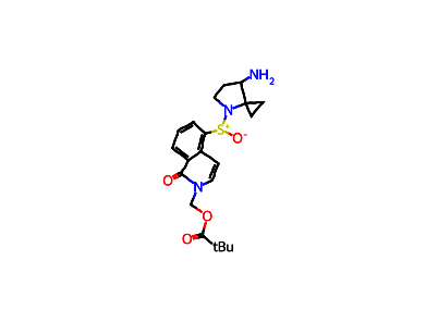 CC(C)(C)C(=O)OCn1ccc2c([S+]([O-])N3CCC(N)C34CC4)cccc2c1=O